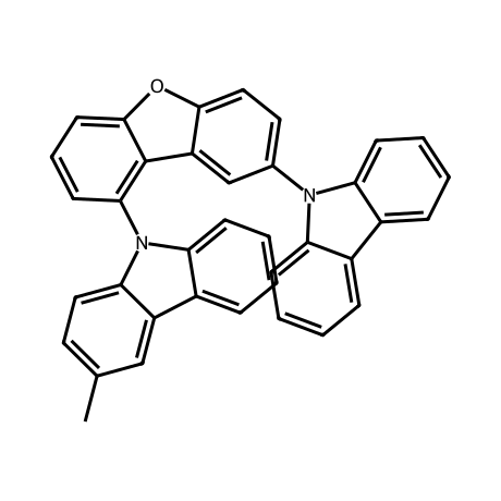 Cc1ccc2c(c1)c1ccccc1n2-c1cccc2oc3ccc(-n4c5ccccc5c5ccccc54)cc3c12